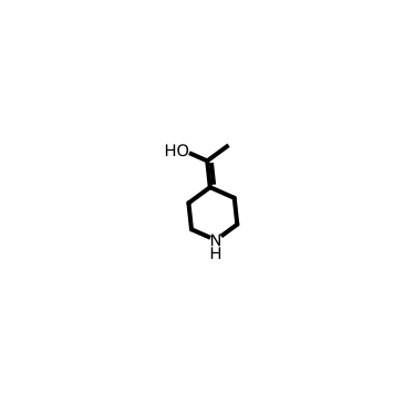 CC(O)=C1CCNCC1